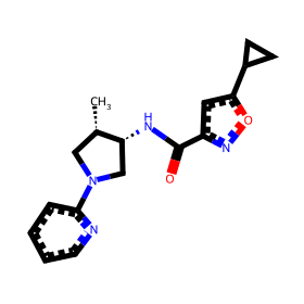 C[C@H]1CN(c2ccccn2)C[C@H]1NC(=O)c1cc(C2CC2)on1